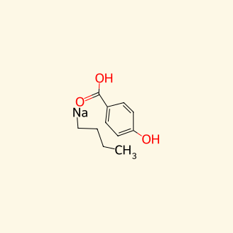 CCC[CH2][Na].O=C(O)c1ccc(O)cc1